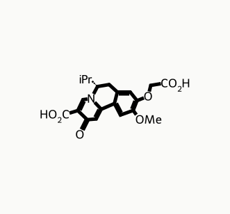 COc1cc2c(cc1OCC(=O)O)C[C@@H](C(C)C)n1cc(C(=O)O)c(=O)cc1-2